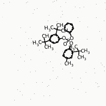 Cc1ccc(OP(=O)(Oc2ccccc2)Oc2ccc(C(C)(C)C)cc2C(C)(C)C)c(C(C)(C)C)c1